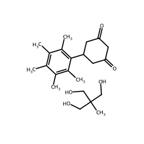 CC(CO)(CO)CO.Cc1c(C)c(C)c(C2CC(=O)CC(=O)C2)c(C)c1C